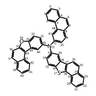 c1ccc2c(c1)ccc1ccc(N(c3ccc4sc5c6ccccc6ccc5c4c3)c3ccc4oc5ccc6ccccc6c5c4c3)cc12